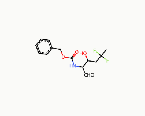 CC(F)(F)CC(O)C(C=O)NC(=O)OCc1ccccc1